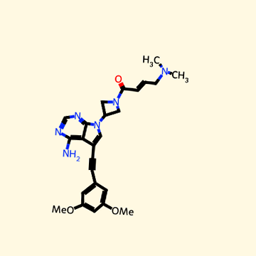 COc1cc(C#Cc2cn(C3CN(C(=O)/C=C/CN(C)C)C3)c3ncnc(N)c23)cc(OC)c1